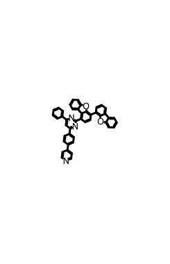 c1ccc(-c2cc(-c3ccc(-c4ccncc4)cc3)nc(-c3ccc(-c4cccc5c4oc4ccccc45)c4oc5ccccc5c34)n2)cc1